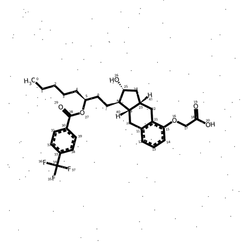 CCCCC[C@@H](CC[C@@H]1[C@H]2Cc3cccc(OCC(=O)O)c3C[C@H]2C[C@H]1O)OC(=O)c1ccc(C(F)(F)F)cc1